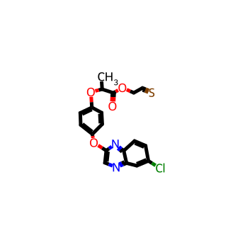 CC(Oc1ccc(Oc2cnc3cc(Cl)ccc3n2)cc1)C(=O)OCC=S